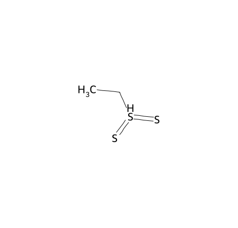 CC[SH](=S)=S